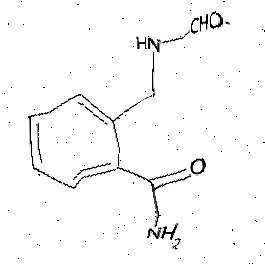 NC(=O)c1ccccc1CN[C]=O